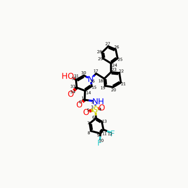 O=C(NS(=O)(=O)c1ccc(F)c(F)c1)c1cn(Cc2ccccc2-c2ccccc2)cc(O)c1=O